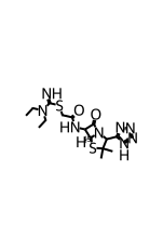 CCN(CC)C(=N)SCC(=O)NC1C(=O)N2C(c3nnn[nH]3)C(C)(C)S[C@@H]12